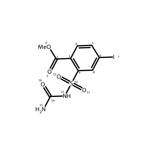 COC(=O)c1ccc(I)cc1S(=O)(=O)NC(N)=O